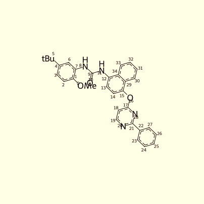 COc1ccc(C(C)(C)C)cc1NC(=O)Nc1ccc(Oc2ccnc(-c3ccccc3)n2)c2ccccc12